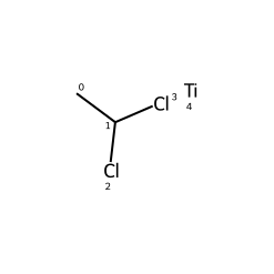 CC(Cl)Cl.[Ti]